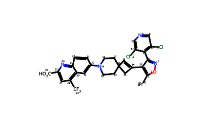 CC(C)c1onc(-c2c(Cl)cncc2Cl)c1C1=CC2(CCN(c3ccc4nc(C(=O)O)cc(C(F)(F)F)c4c3)CC2)C1